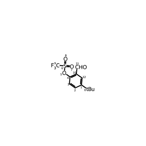 CC(C)(C)c1ccc(OS(=O)(=O)C(F)(F)F)c(C=O)c1